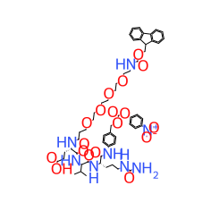 CC(C)[C@H](NC(=O)[C@H](CCC(=O)O)NC(=O)CCOCCOCCOCCOCCNC(=O)OCC1c2ccccc2-c2ccccc21)C(=O)N[C@@H](CCCNC(N)=O)C(=O)Nc1ccc(COC(=O)Oc2ccc([N+](=O)[O-])cc2)cc1